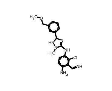 COCc1cccc(C2N=C(Nc3ccc(N)c(C=N)c3Cl)N(C)N2)c1